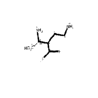 NCCC(C(F)F)[C@@H](N)C(=O)O